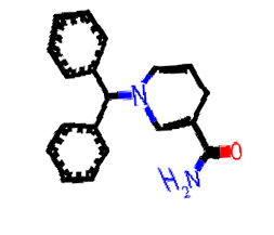 NC(=O)C1=CN(C(c2ccccc2)c2ccccc2)C=CC1